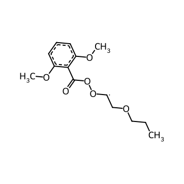 CCCOC[CH]OOC(=O)c1c(OC)cccc1OC